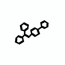 [c]1ccc(-c2ccc(C=C(c3ccccc3)c3ccccc3)cc2)cc1